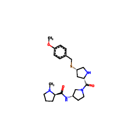 COc1ccc(CS[C@@H]2CN[C@H](C(=O)N3CC[C@H](NC(=O)[C@H]4CCCN4C)C3)C2)cc1